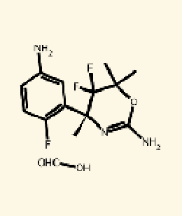 CC1(C)OC(N)=N[C@](C)(c2cc(N)ccc2F)C1(F)F.O=CO